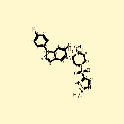 CC1=CC2C(C=NN2c2ccc(F)cc2)C=C1[C@H]1CN(S(=O)(=O)c2cnn(C)n2)CCN1C